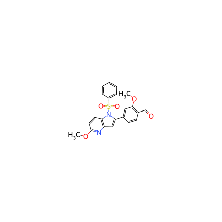 COc1ccc2c(cc(-c3ccc(C=O)c(OC)c3)n2S(=O)(=O)c2ccccc2)n1